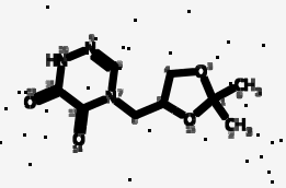 CC1(C)OCC(Cn2[c]n[nH]c(=O)c2=O)O1